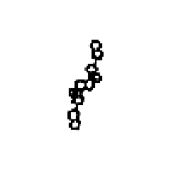 c1ccc2cc(-c3ccc4c(c3)oc3ccc5c(ccc6oc7cc(-c8ccc9ccccc9c8)ccc7c65)c34)ccc2c1